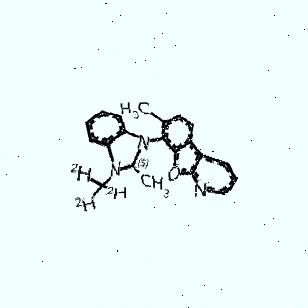 [2H]C([2H])([2H])N1c2ccccc2N(c2c(C)ccc3c2oc2ncccc23)[C@H]1C